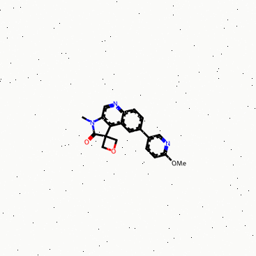 COc1ccc(-c2ccc3ncc4c(c3c2)C2(COC2)C(=O)N4C)cn1